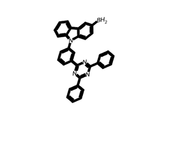 Bc1ccc2c(c1)c1ccccc1n2-c1cccc(-c2nc(-c3ccccc3)nc(-c3ccccc3)n2)c1